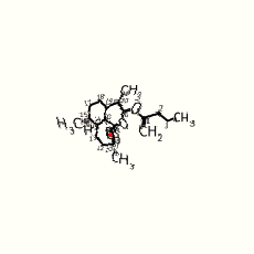 C=C(CCC)OC1O[C@@H]2O[C@]3(C)CC[C@H]4[C@H](C)CCC([C@H]1C)[C@@]24OO3